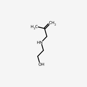 C=C(C)CNCCO